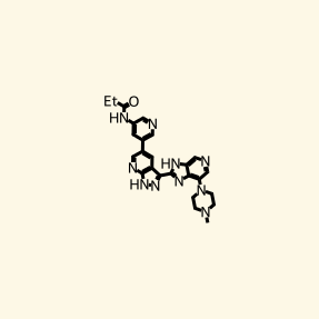 CCC(=O)Nc1cncc(-c2cnc3[nH]nc(-c4nc5c(N6CCN(C)CC6)cncc5[nH]4)c3c2)c1